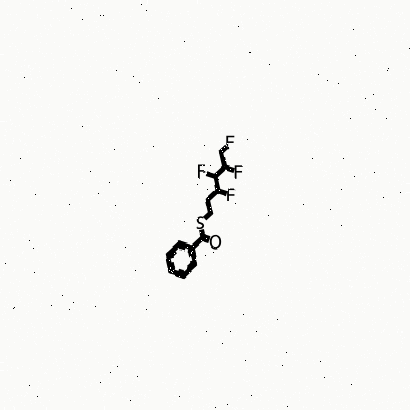 O=C(SCCC(F)C(F)C(F)CF)c1ccccc1